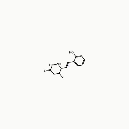 CC1CC(=O)NNC1/C=C/c1ccccc1O